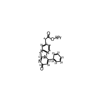 CC(C)OC(=O)Cc1ccc2c(c1)sc1nc(=O)cc(-c3ccccc3)n12